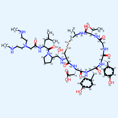 CNCCN(CCNC)CC(=O)N[C@@H](CC(C)C)C(=O)N1CCCC1[C@H](O)N[C@H]1CSSC[C@@H](C)NC(=O)[C@H](C(C)O)NC(=O)CNC(=O)[C@H](Cc2ccc(O)cc2)NC(=O)[C@H](Cc2ccc(O)cc2)NC(=O)[C@H](CC(=O)O)NC1=O